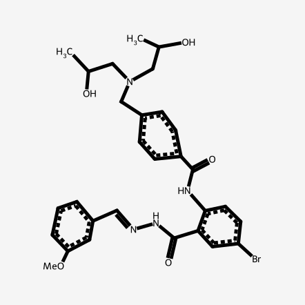 COc1cccc(C=NNC(=O)c2cc(Br)ccc2NC(=O)c2ccc(CN(CC(C)O)CC(C)O)cc2)c1